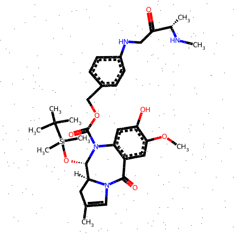 CN[C@@H](C)C(=O)CNc1ccc(COC(=O)N2c3cc(O)c(OC)cc3C(=O)N3C=C(C)C[C@H]3[C@@H]2O[Si](C)(C)C(C)(C)C)cc1